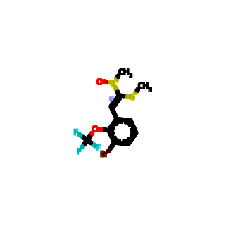 CS/C(=C\c1cccc(Br)c1OC(F)(F)F)[S+](C)[O-]